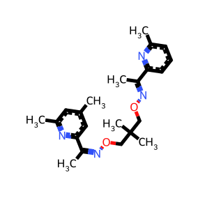 C/C(=N/OCC(C)(C)CO/N=C(\C)c1cccc(C)n1)c1cc(C)cc(C)n1